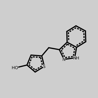 Oc1csc(Cc2n[nH]c3ccccc23)c1